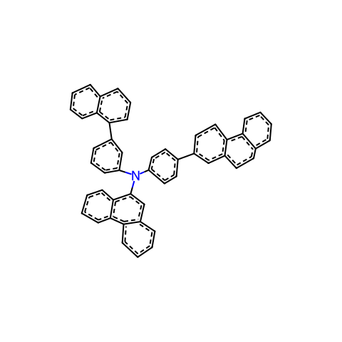 c1cc(-c2cccc3ccccc23)cc(N(c2ccc(-c3ccc4c(ccc5ccccc54)c3)cc2)c2cc3ccccc3c3ccccc23)c1